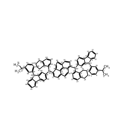 CC(C)c1cccc(-n2c3ccccc3c3ccc(N(c4cccc5c4CCCC5)c4ccc5ccc6c(N(c7ccc8c9ccccc9n(-c9cccc(C(C)C)c9)c8c7)c7cccc8c7CCCC8)ccc7ccc4c5c76)cc32)c1